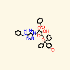 COc1ccc(C(OC[C@H]2O[C@@H](n3cnc4c(NCc5ccccc5)ncnc43)[C@H](OC(=O)c3ccccc3)[C@@H]2O)(c2ccccc2)c2ccccc2)cc1